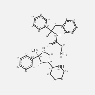 CC(Cc1ccccc1)(NC(=O)CN)c1ccccc1.CC[C@]1(c2ccccc2)OC[C@H]([C@@H]2CCCCN2)O1